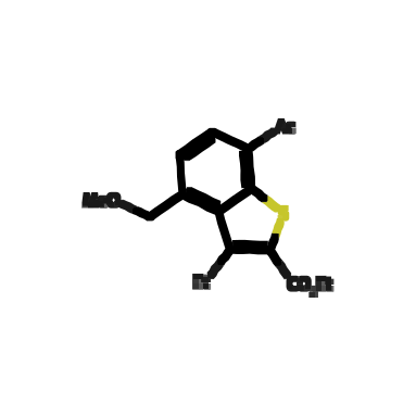 CCOC(=O)c1sc2c(C(C)=O)ccc(COC)c2c1CC